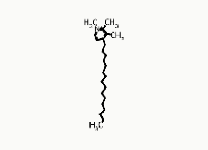 CCCCCCCCCCCCCCCCc1cc[n+](C)c(C)c1C